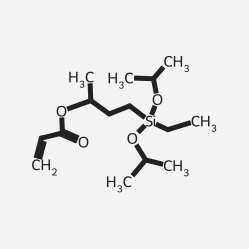 C=CC(=O)OC(C)CC[Si](CC)(OC(C)C)OC(C)C